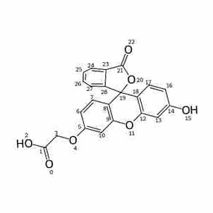 O=C(O)COc1ccc2c(c1)Oc1cc(O)ccc1C21OC(=O)c2ccccc21